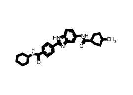 CC1CCC(C(=O)Nc2ccc3[nH]c(-c4ccc(C(=O)NC5CCCCC5)cc4)nc3c2)CC1